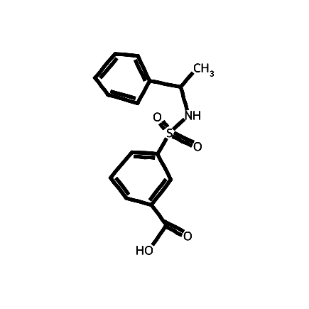 CC(NS(=O)(=O)c1cccc(C(=O)O)c1)c1ccccc1